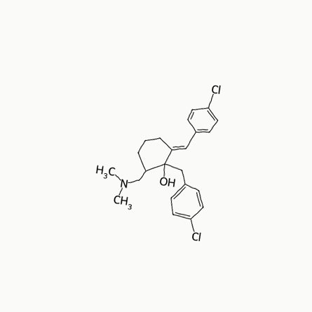 CN(C)CC1CCCC(=Cc2ccc(Cl)cc2)C1(O)Cc1ccc(Cl)cc1